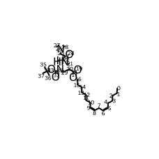 CCCCC/C=C\C/C=C\CCCCCCCOC(=O)[C@@H](CNC(=O)CN(C)C)CNC(=O)OC(C)(C)C